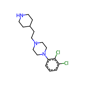 Clc1cccc(N2CCN(CCC3CCNCC3)CC2)c1Cl